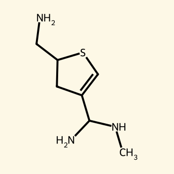 CNC(N)C1=CSC(CN)C1